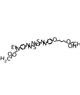 C=CC(=O)OCCN(CC)c1ccc(/N=N/c2nc3sc(/N=N/c4ccc(OCCCCCO[C@H](O)C=C)cc4)cc3s2)cc1